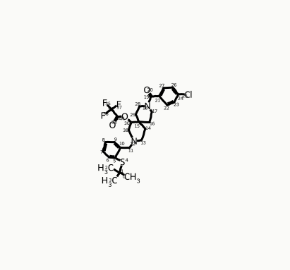 CC(C)(C)Sc1ccccc1CN1CCC2(CCN(C(=O)c3ccc(Cl)cc3)CC2)C(OC(=O)C(F)(F)F)C1